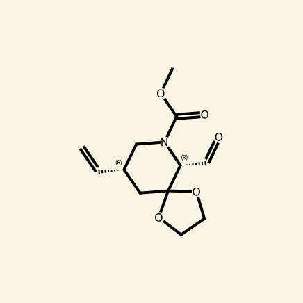 C=C[C@@H]1CN(C(=O)OC)[C@H](C=O)C2(C1)OCCO2